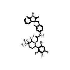 CC1(C)CCC(c2c(Br)cc(F)c(F)c2F)N(CC(=O)Nc2ccc3c(c2)C[C@@]2(C3)C(=O)Nc3ncccc32)C1=O